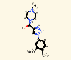 COc1cc(-n2cc(C(=O)N3CCN(C)CC3)nn2)ccc1[N+](=O)[O-]